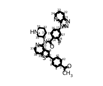 CC(=O)c1ccc(-c2cc3c(N(C(=O)c4ccc(-n5nnc6cccnc65)cc4F)[C@@H]4CCCNC4)nccc3s2)cc1